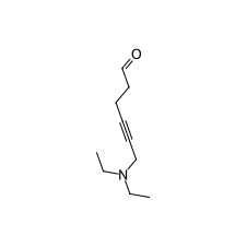 CCN(CC)CC#CCCC=O